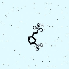 O=[N+]([O-])c1cccc(C=CS(=O)(=O)O)c1